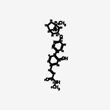 CNC(=O)/C=C/c1ccc(-c2ccc(O[C@@H]3CC4CC[C@@](C)(C3)N4)nn2)c(O)c1